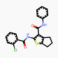 O=C(Nc1sc2c(c1C(=O)Nc1ccccc1)CCC2)c1ccccc1Cl